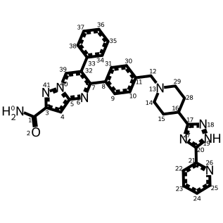 NC(=O)c1cc2nc(-c3ccc(CN4CCC(c5n[nH]c(-c6ccccn6)n5)CC4)cc3)c(-c3ccccc3)cn2n1